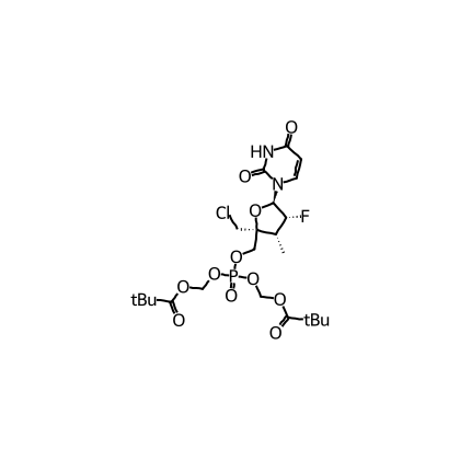 C[C@H]1[C@@H](F)[C@H](n2ccc(=O)[nH]c2=O)O[C@]1(CCl)COP(=O)(OCOC(=O)C(C)(C)C)OCOC(=O)C(C)(C)C